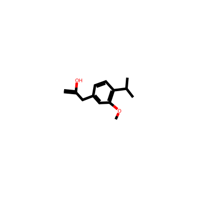 C=C(O)Cc1ccc(C(C)C)c(OC)c1